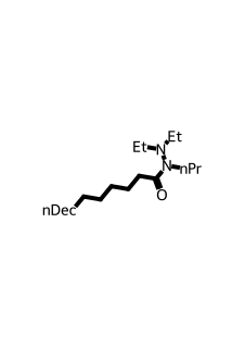 CCCCCCCCCCCCCCCC(=O)N(CCC)N(CC)CC